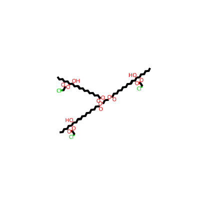 CCCCCC(OC(=O)CCl)C(O)CC=CCCCCCCCC(=O)OCC(COC(=O)CCCCCCCC=CCC(O)C(CCCCC)OC(=O)CCl)OC(=O)CCCCCCCC=CCC(O)C(CCCCC)OC(=O)CCl